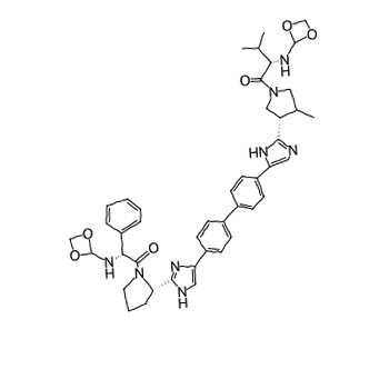 CC(C)[C@H](NC1OCO1)C(=O)N1CC(C)[C@H](c2ncc(-c3ccc(-c4ccc(-c5c[nH]c([C@@H]6CCCN6C(=O)[C@H](NC6OCO6)c6ccccc6)n5)cc4)cc3)[nH]2)C1